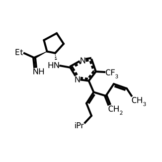 C=C(/C=C\C)/C(=C\CC(C)C)c1nc(N[C@H]2CCC[C@@H]2C(=N)CC)ncc1C(F)(F)F